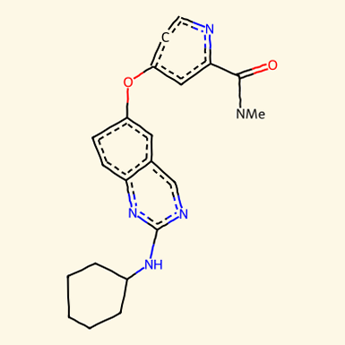 CNC(=O)c1cc(Oc2ccc3nc(NC4CCCCC4)ncc3c2)ccn1